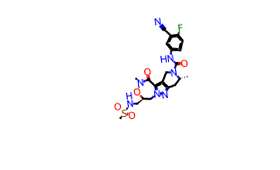 C[C@@H]1Cc2nn3c(c2CN1C(=O)Nc1ccc(F)c(C#N)c1)C(=O)N(C)O[C@H](CNS(C)(=O)=O)C3